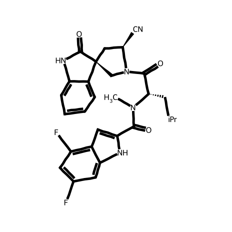 CC(C)C[C@@H](C(=O)N1C[C@]2(C[C@H]1C#N)C(=O)Nc1ccccc12)N(C)C(=O)c1cc2c(F)cc(F)cc2[nH]1